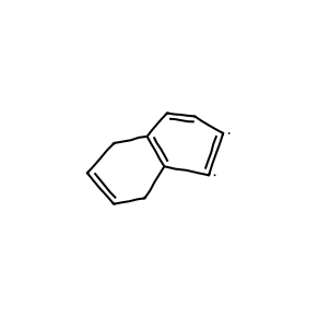 [c]1[c]c2c(cc1)CC=CC2